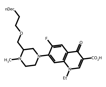 CCCCCCCCCCCCOCC1CN(c2cc3c(cc2F)c(=O)c(C(=O)O)cn3CC)CCN1C